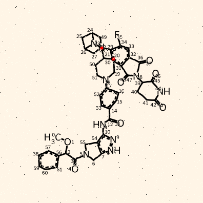 COC(C(=O)N1Cc2[nH]nc(NC(=O)c3ccc(N4CCC(CN5C6CC5CN(c5cc7c(cc5F)C(=O)N(C5CCC(=O)NC5=O)C7=O)C6)CC4)cc3)c2C1)c1ccccc1